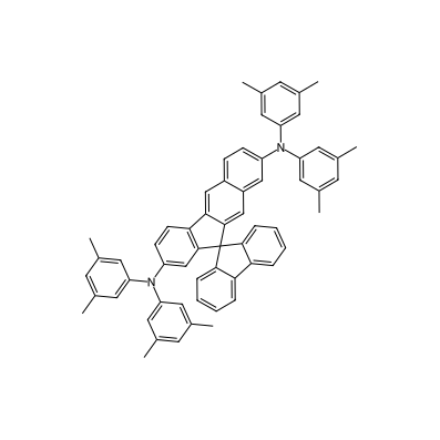 Cc1cc(C)cc(N(c2cc(C)cc(C)c2)c2ccc3c(c2)C2(c4ccccc4-c4ccccc42)c2cc4cc(N(c5cc(C)cc(C)c5)c5cc(C)cc(C)c5)ccc4cc2-3)c1